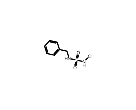 O=S(=O)(NCl)NCc1ccccc1